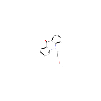 COCCn1c2ccccc2c(=O)c2ccccc21